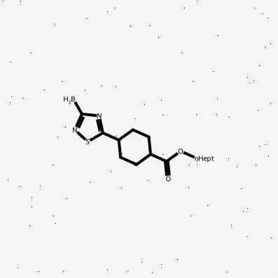 Bc1nsc(C2CCC(C(=O)OCCCCCCC)CC2)n1